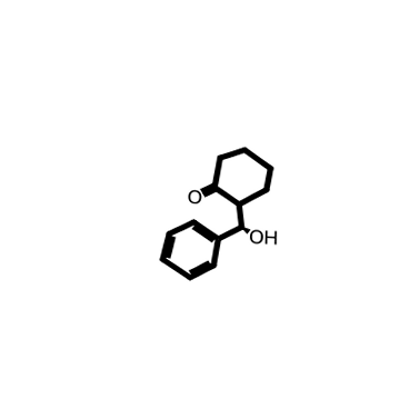 O=C1CCCCC1[C@@H](O)c1ccccc1